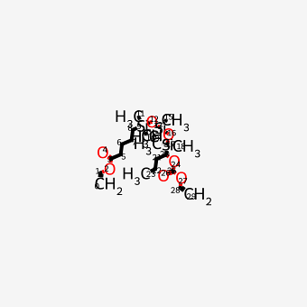 C=COC(=O)CCCC[Si](C)(C)O[Si](C)(C)O[Si](C)(C)C(CCC)OC(=O)OC=C